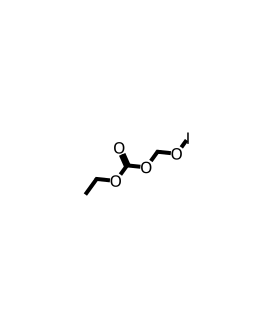 CCOC(=O)OCOI